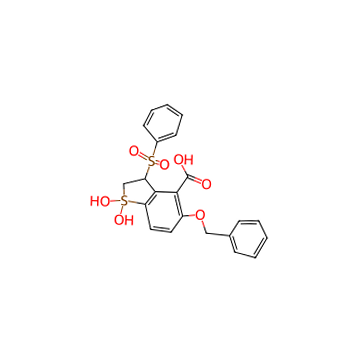 O=C(O)c1c(OCc2ccccc2)ccc2c1C(S(=O)(=O)c1ccccc1)CS2(O)O